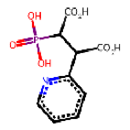 O=C(O)C(c1ccccn1)C(C(=O)O)P(=O)(O)O